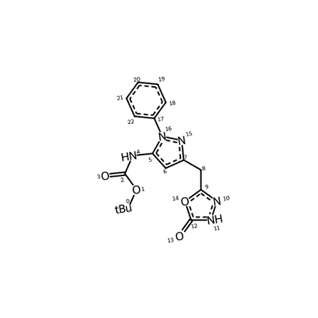 CC(C)(C)OC(=O)Nc1cc(Cc2n[nH]c(=O)o2)nn1-c1ccccc1